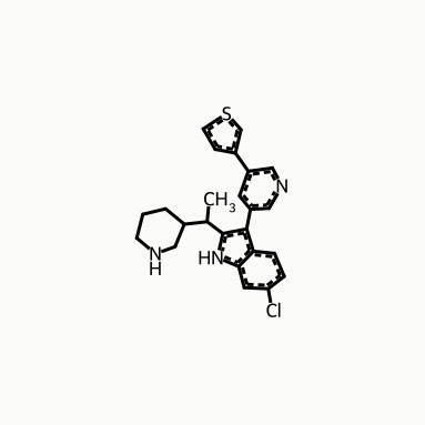 CC(c1[nH]c2cc(Cl)ccc2c1-c1cncc(-c2ccsc2)c1)C1CCCNC1